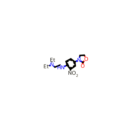 CCN(CC)CCNc1ccc(N2CCOC2=O)cc1[N+](=O)[O-]